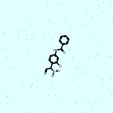 O=CC(c1ccc(NC(=O)c2ccccc2)cc1Cl)[N+](=O)[O-]